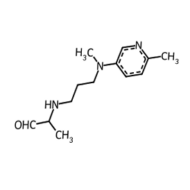 Cc1ccc(N(C)CCCNC(C)C=O)cn1